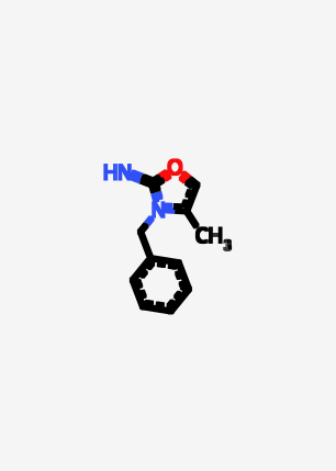 Cc1coc(=N)n1Cc1ccccc1